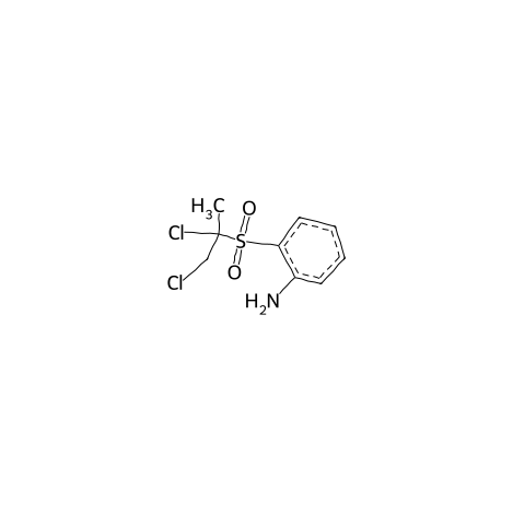 CC(Cl)(CCl)S(=O)(=O)c1ccccc1N